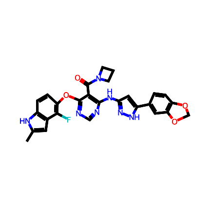 Cc1cc2c(F)c(Oc3ncnc(Nc4cc(-c5ccc6c(c5)OCO6)[nH]n4)c3C(=O)N3CCC3)ccc2[nH]1